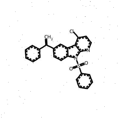 C=C(c1ccccc1)c1ccc2c(c1)c1c(Cl)ccnc1n2S(=O)(=O)c1ccccc1